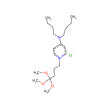 CCCCN(CCCC)c1cc[n+](CCC[Si](OC)(OC)OC)cc1.[Cl-]